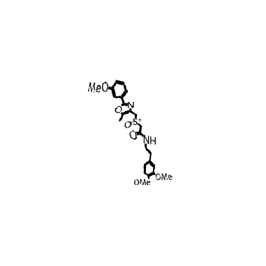 COc1cccc(-c2nc(C[S+]([O-])CC(=O)NCCc3ccc(OC)c(OC)c3)c(C)o2)c1